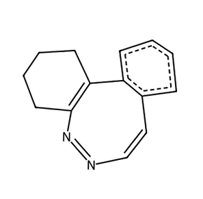 C1=Cc2ccccc2C2=C(CCCC2)N=N1